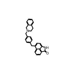 O=C1Nc2ccc(Cc3ccc(CN4CCc5ccccc5C4)cc3)c3cccc1c23